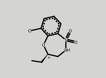 CC[C@@H]1CNS(=O)(=O)c2cccc(Cl)c2O1